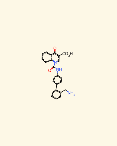 NCc1ccccc1-c1ccc(NC(=O)n2cc(C(=O)O)c(=O)c3ccccc32)cc1